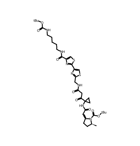 C[C@H]1CC/C(=C/C(=O)NC2(C(=O)CC(=O)NCc3nc(-c4nc(C(=O)NCCCCCNC(=O)OC(C)(C)C)cs4)cs3)CC2)N1C(=O)OC(C)(C)C